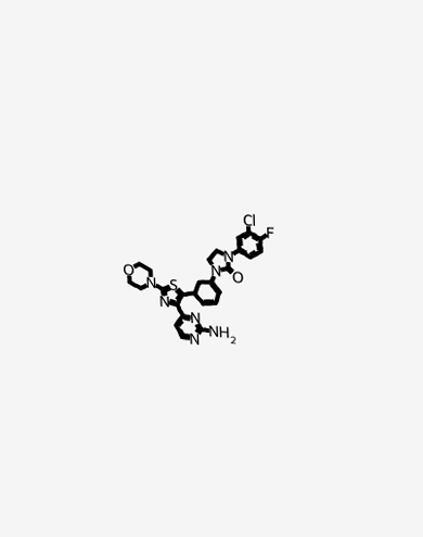 Nc1nccc(-c2nc(N3CCOCC3)sc2C2C=CC=C(N3CCN(c4ccc(F)c(Cl)c4)C3=O)C2)n1